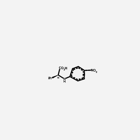 CC(C)[C@H](Nc1ccc([N+](=O)[O-])cc1)C(=O)O